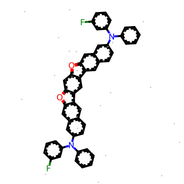 Fc1cccc(N(c2ccccc2)c2ccc3cc4c(cc3c2)oc2cc3oc5cc6cc(N(c7ccccc7)c7cccc(F)c7)ccc6cc5c3cc24)c1